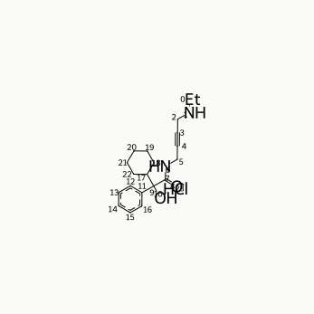 CCNCC#CCNC(=O)C(O)(c1ccccc1)C1CCCCC1.Cl